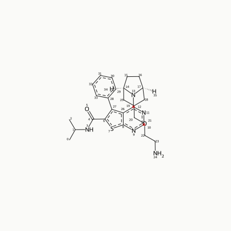 CC(C)NC(=O)c1sc2ncnc(N3[C@@H]4CC[C@H]3CC(COCCN)C4)c2c1-c1ccccc1